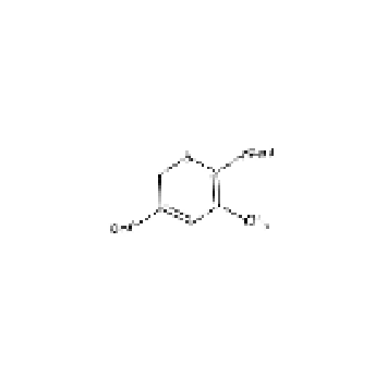 CCCCCC1=C(C)C=C(C=O)CS1